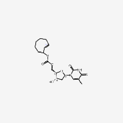 Cc1cn([C@H]2C[C@H](O)[C@@H](COC(=O)OC3/C=C/CCCCC3)O2)c(=O)[nH]c1=O